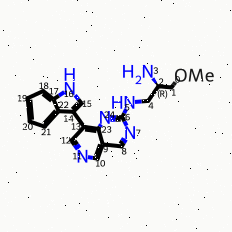 COC[C@H](N)CNc1ncc2cncc(-c3c[nH]c4ccccc34)c2n1